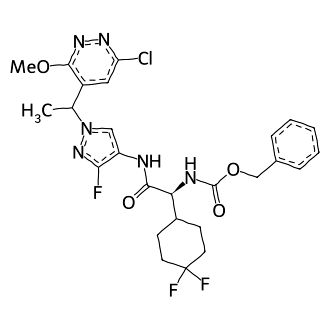 COc1nnc(Cl)cc1C(C)n1cc(NC(=O)[C@@H](NC(=O)OCc2ccccc2)C2CCC(F)(F)CC2)c(F)n1